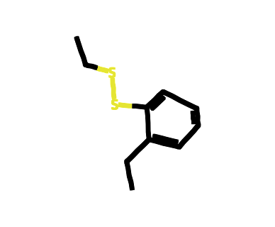 CCSSc1ccccc1CC